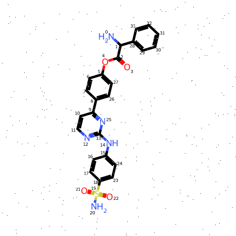 NC(C(=O)Oc1ccc(-c2ccnc(Nc3ccc(S(N)(=O)=O)cc3)n2)cc1)c1ccccc1